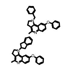 Cc1nc2ccc(Oc3ccccc3)cc2c2c1CCN2C1Cc2ccccc2C1.Cc1nc2ccc(Oc3ccccc3)cc2c2c1CCN2Cc1ccccc1